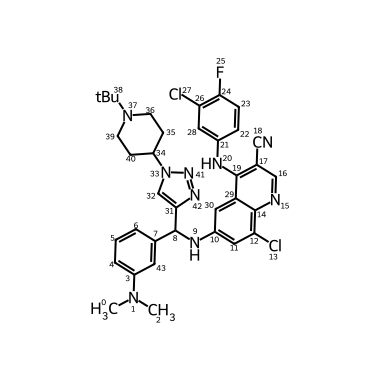 CN(C)c1cccc(C(Nc2cc(Cl)c3ncc(C#N)c(Nc4ccc(F)c(Cl)c4)c3c2)c2cn(C3CCN(C(C)(C)C)CC3)nn2)c1